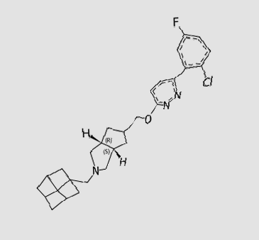 Fc1ccc(Cl)c(-c2ccc(OCC3C[C@@H]4CN(CC56CC7CC8CC(C5)C876)C[C@@H]4C3)nn2)c1